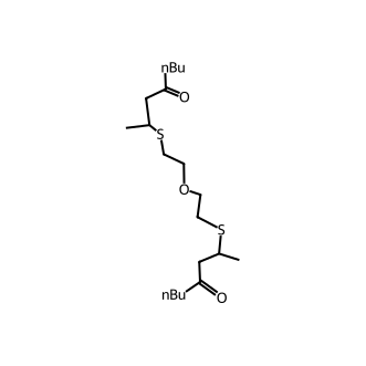 CCCCC(=O)CC(C)SCCOCCSC(C)CC(=O)CCCC